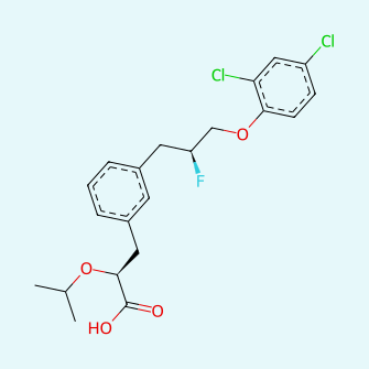 CC(C)O[C@@H](Cc1cccc(C[C@H](F)COc2ccc(Cl)cc2Cl)c1)C(=O)O